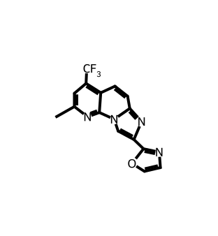 Cc1cc(C(F)(F)F)c2ccc3nc(-c4ncco4)cn3c2n1